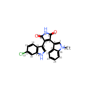 CCn1cc(C2=C(c3c[nH]c4cc(Cl)ccc34)C(=O)NC2=O)c2ccccc21